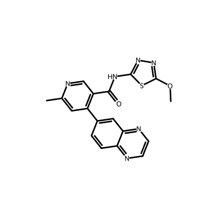 COc1nnc(NC(=O)c2cnc(C)cc2-c2ccc3nccnc3c2)s1